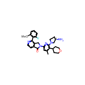 COc1cccc(F)c1-c1nccc2c1CN(c1cc(C)c(C3CCOCC3)c(N3CC[C@@H](N)C3)n1)C2=O